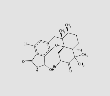 C[C@H]1CC[C@H]2C(C)(C)C(=O)C(Br)C[C@]23Oc2c(cc(Cl)c4c2C(O)NC4=O)C[C@]13C